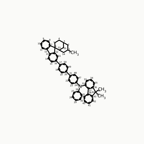 CC1CC2CCC3(c4ccccc4-c4ccc(-c5ccc(-c6ccc(N(c7ccccc7)c7cccc8c7-c7ccccc7C8(C)C)cc6)cc5)cc43)C(C1)C2